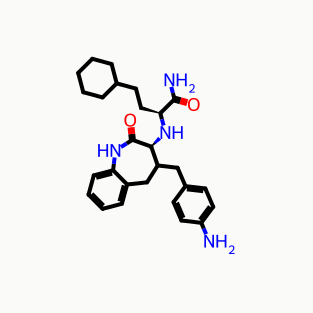 NC(=O)[C@H](CCC1CCCCC1)N[C@@H]1C(=O)Nc2ccccc2CC1Cc1ccc(N)cc1